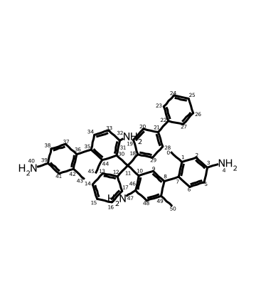 Cc1cc(N)ccc1-c1cc(C(c2ccccc2)(c2ccc(-c3ccccc3)cc2)c2c(N)ccc(-c3ccc(N)cc3C)c2C)c(N)cc1C